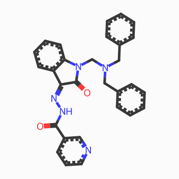 O=C(NN=C1C(=O)N(CN(Cc2ccccc2)Cc2ccccc2)c2ccccc21)c1cccnc1